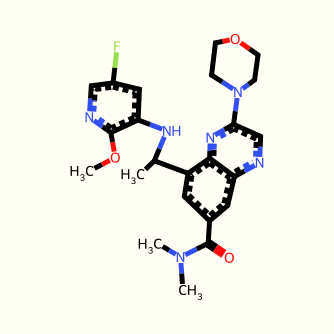 COc1ncc(F)cc1NC(C)c1cc(C(=O)N(C)C)cc2ncc(N3CCOCC3)nc12